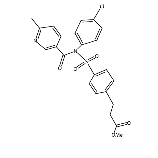 COC(=O)CCc1ccc(S(=O)(=O)N(C(=O)c2ccc(C)nc2)c2ccc(Cl)cc2)cc1